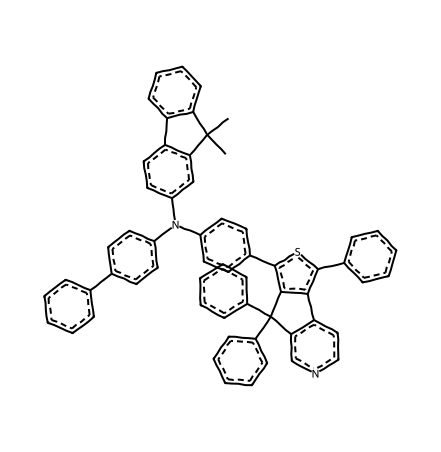 CC1(C)c2ccccc2-c2ccc(N(c3ccc(-c4ccccc4)cc3)c3ccc(-c4sc(-c5ccccc5)c5c4C(c4ccccc4)(c4ccccc4)c4cnccc4-5)cc3)cc21